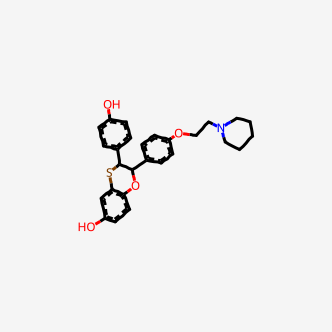 Oc1ccc(C2Sc3cc(O)ccc3OC2c2ccc(OCCN3CCCCC3)cc2)cc1